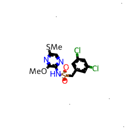 COc1nc(SC)cnc1NS(=O)(=O)Cc1cc(Cl)cc(Cl)c1